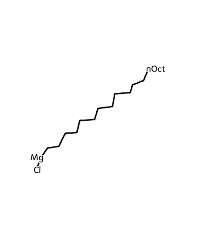 CCCCCCCCCCCCCCCCCCC[CH2][Mg][Cl]